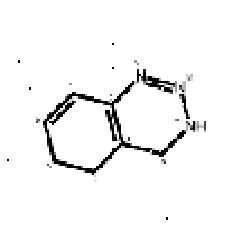 C1=CC2=C(CC1)CNN=N2